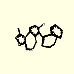 Cc1nnc2n1-c1ccc(Cl)c(C3=CCCc4ccccc43)c1COC2